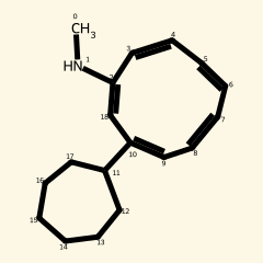 CNc1cccccccc(C2CCCCCC2)c1